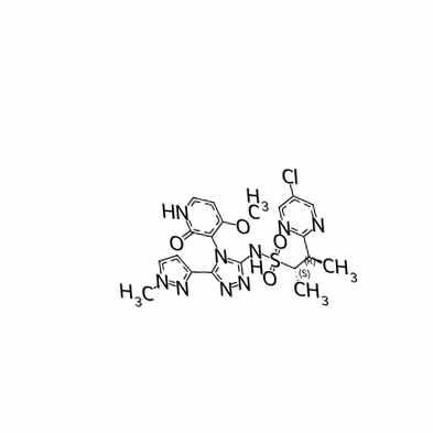 COc1cc[nH]c(=O)c1-n1c(NS(=O)(=O)[C@@H](C)[C@H](C)c2ncc(Cl)cn2)nnc1-c1ccn(C)n1